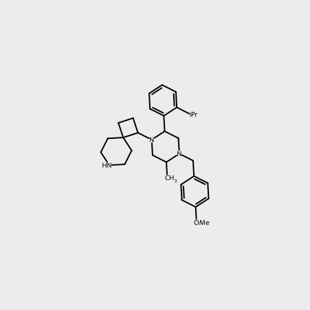 COc1ccc(CN2CC(c3ccccc3C(C)C)N(C3CCC34CCNCC4)CC2C)cc1